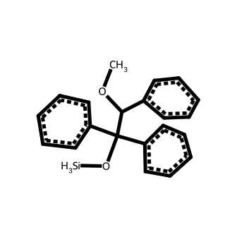 COC(c1ccccc1)C(O[SiH3])(c1ccccc1)c1ccccc1